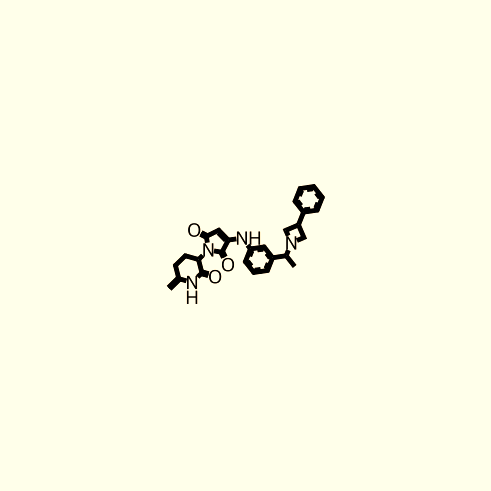 C=C1CCC(N2C(=O)C=C(Nc3cccc(C(C)N4CC(c5ccccc5)C4)c3)C2=O)C(=O)N1